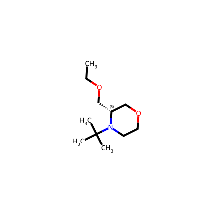 CCOC[C@@H]1COCCN1C(C)(C)C